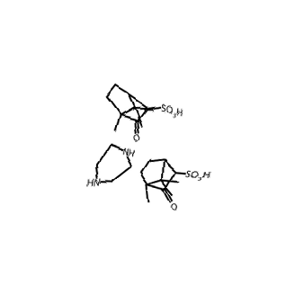 C1CNCCN1.CC12CCC(C(S(=O)(=O)O)C1=O)C2(C)C.CC12CCC(C(S(=O)(=O)O)C1=O)C2(C)C